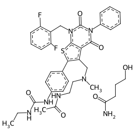 CCNC(=O)Nc1ccc(-c2sc3c(c2CN(C)CCNC(C)=O)c(=O)n(-c2ccccc2)c(=O)n3Cc2c(F)cccc2F)cc1.NC(=O)CCCO